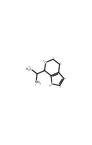 CC(N)C1OCCc2ccsc21